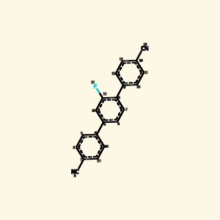 N#Cc1ccc(-c2ccc(-c3ccc(C#N)cc3)c(F)c2)cc1